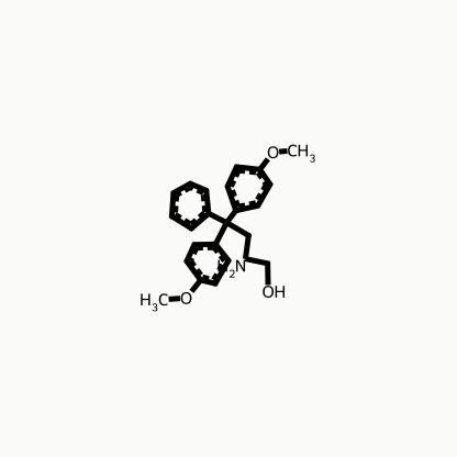 COc1ccc(C(CC(N)CO)(c2ccccc2)c2ccc(OC)cc2)cc1